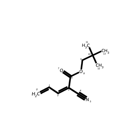 C=CC=C(C#N)C(=O)OCC(C)(C)C